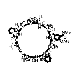 CC[C@H](C)[C@@H]1NC(=O)[C@H](CC(C)C)N(C)C(=O)CCCN(C)C(=O)C[C@@H](C(=O)N2CCCCC2)NC(=O)[C@H](CC(C)C)N(C)C(=O)[C@H](CC(C)C)N(C)C(=O)[C@H]([C@@H](C)O)NC(=O)[C@H](CC(C)C)N(C)C(=O)[C@H](Cc2ccc(OC)c(C(=O)NC)c2)NC(=O)[C@H](CC(C)C)N(C)C(=O)[C@H](Cc2ccccc2)N(C)C1=O